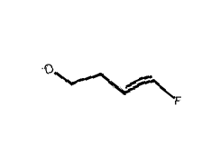 [O]CCC=CF